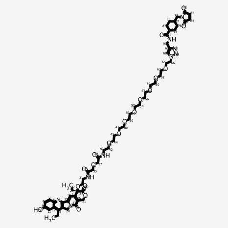 CCc1c2c(nc3ccc(O)cc13)-c1cc3c(c(=O)n1C2)COC(=O)[C@@]3(CC)OC(=O)CNC(=O)COCC(=O)NCCOCCOCCOCCOCCOCCOCCOCCOCCn1cc(CNC(=O)C2CCC(CN3C(=O)C=CC3=O)CC2)nn1